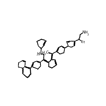 CCC(CN)C1=CCC(C2=CC=C(/C(C)=C3\C=CCC\C3=C(\CNC3C=CCCC3)C3=CC=C(C4=C5C=CCCC5=CCC4)CC3)CC2)C=C1